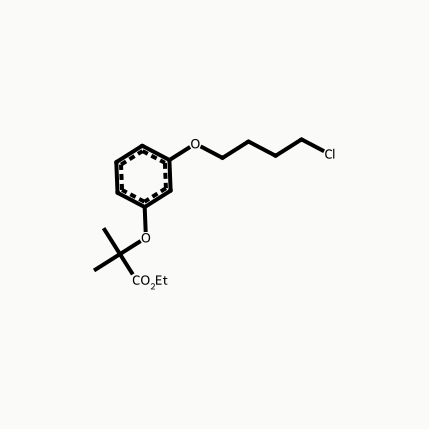 CCOC(=O)C(C)(C)Oc1cccc(OCCCCCl)c1